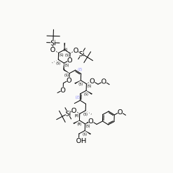 COCO[C@@H]([C@@H](C)/C=C\[C@H](C[C@@H]1O[C@@H](O[Si](C)(C)C(C)(C)C)[C@H](C)[C@@H](O[Si](C)(C)C(C)(C)C)[C@H]1C)OCOC)[C@@H](C)/C=C(/C)C[C@H](C)[C@@H](O[Si](C)(C)C(C)(C)C)[C@H](C)[C@@H](OCc1ccc(OC)cc1)[C@@H](C)CO